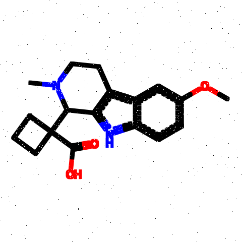 COc1ccc2[nH]c3c(c2c1)CCN(C)C3C1(C(=O)O)CCC1